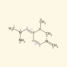 C=N/C=C\C(=C/N(C)N)C(C)C